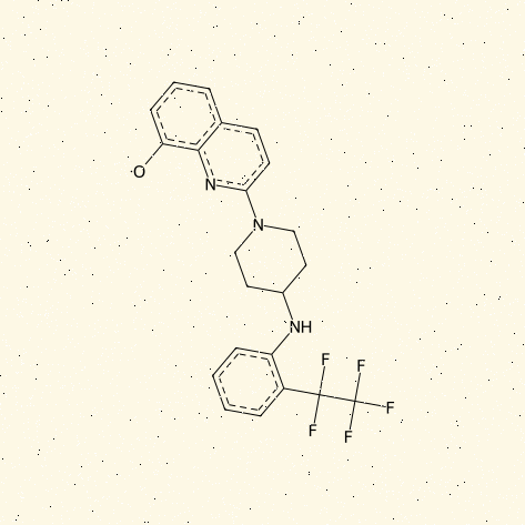 [O]c1cccc2ccc(N3CCC(Nc4ccccc4C(F)(F)C(F)(F)F)CC3)nc12